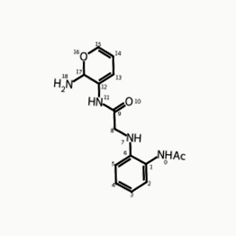 CC(=O)Nc1ccccc1NCC(=O)NC1=CC=COC1N